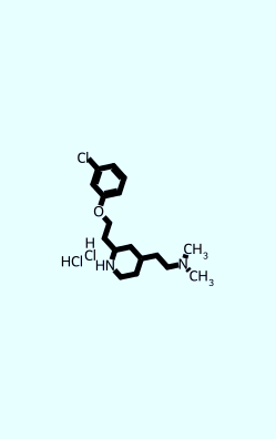 CN(C)CCC1CCNC(CCOc2cccc(Cl)c2)C1.Cl.Cl